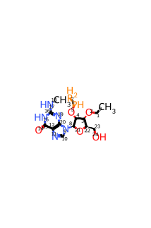 CCO[C@@H]1C(OPP)[C@H](n2cnc3c(=O)[nH]c(NC)nc32)O[C@@H]1CO